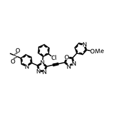 COc1cc(-c2nnc(C#Cc3nnc(-c4ccc(S(C)(=O)=O)cn4)n3-c3ccccc3Cl)o2)ccn1